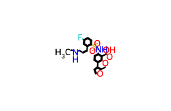 CCNC/C=C\c1cc(F)ccc1S(=O)(=O)Nc1ccc2c(c1C(=O)O)OCc1occc1-2